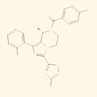 Cc1nsc(-c2nc(-c3ccccc3F)c3n2CCN(C(=O)c2ccc(F)cc2)[C@@H]3C)n1